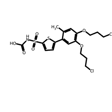 Cc1cc(OCCCCl)c(OCCCCl)cc1-c1ccc(S(=O)(=O)NC(=O)O)s1